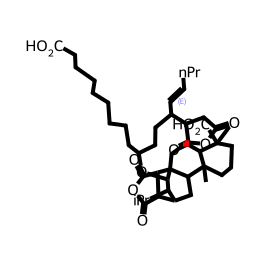 CCC/C=C/C(CCC(CCCCCCCCC(=O)O)OC1C(C(C)C)C2CC3C4(C)CCCC(C)(C(=O)O)C4CCC13C1C(=O)OC(=O)C21)C1CC(=O)OC1=O